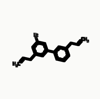 C=CCc1cccc(-c2cc(CC)cc(CC=C)c2)c1